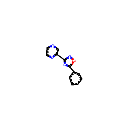 c1ccc(-c2nc(-c3cnccn3)no2)cc1